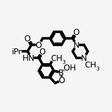 Cc1c(C(=O)NC(C(=O)OCc2ccc(C(=O)N3CCN(C)CC3)cc2)C(C)C)ccc2c1B(O)OC2